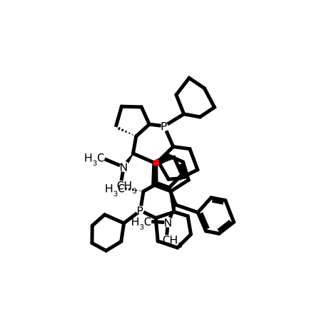 C[C@H](C1CCCC1[C@@H](c1ccccc1)N(C)C)P(C1CCCCC1)C1CCCCC1c1cccc([C@H]([C@@H]2CCCC2P(C2CCCCC2)C2CCCCC2)N(C)C)c1